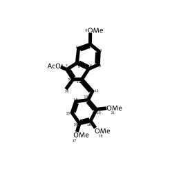 COc1ccc2c(c1)C(OC(C)=O)=C(C)C2=Cc1ccc(OC)c(OC)c1OC